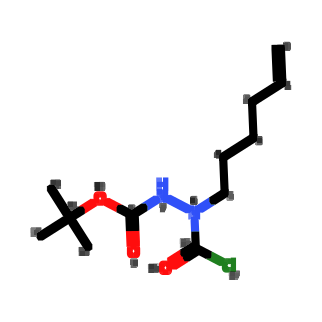 C=CCCCCN(NC(=O)OC(C)(C)C)C(=O)Cl